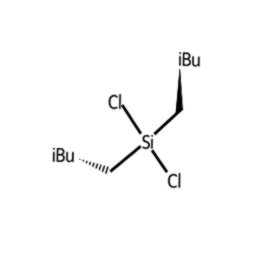 CC[C@H](C)C[Si](Cl)(Cl)C[C@@H](C)CC